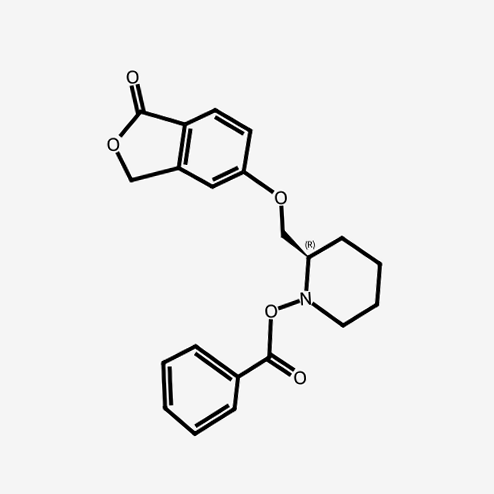 O=C(ON1CCCC[C@@H]1COc1ccc2c(c1)COC2=O)c1ccccc1